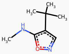 CNc1oncc1C(C)(C)C